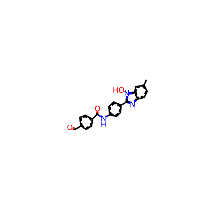 Cc1ccc2nc(-c3ccc(NC(=O)c4ccc(C=O)cc4)cc3)n(O)c2c1